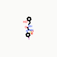 O=C(NCCc1ccccc1O)C1=Nc2ccc(I)cc2S(=O)(=O)N1